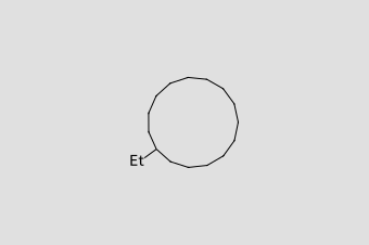 [CH2]CC1CCCCCCCCCCCCCC1